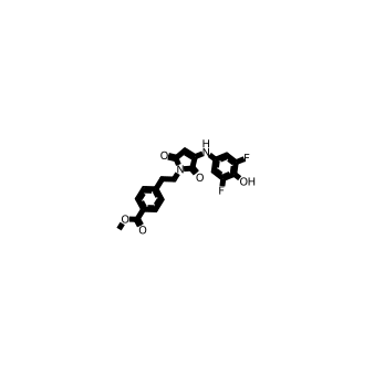 COC(=O)c1ccc(CCN2C(=O)C=C(Nc3cc(F)c(O)c(F)c3)C2=O)cc1